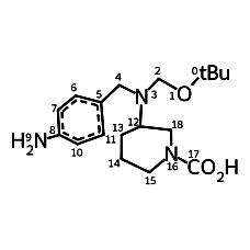 CC(C)(C)OCN(Cc1ccc(N)cc1)C1CCCN(C(=O)O)C1